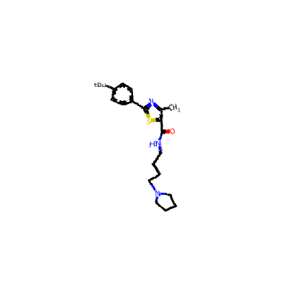 Cc1nc(-c2ccc(C(C)(C)C)cc2)sc1C(=O)NCCCCN1CCCC1